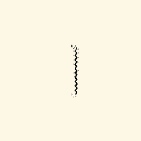 CCCC/C=C/C/C=C/C/C=C/C/C=C/C/C=C/CCCCN